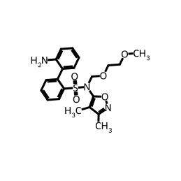 COCCOCN(c1onc(C)c1C)S(=O)(=O)c1ccccc1-c1ccccc1N